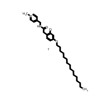 CCCCCCCCCCCCCCCCOc1ccc(CC(=O)NCc2cc[n+](C)cc2)c(Cl)c1.[I-]